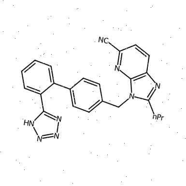 CCCc1nc2ccc(C#N)nc2n1Cc1ccc(-c2ccccc2-c2nnn[nH]2)cc1